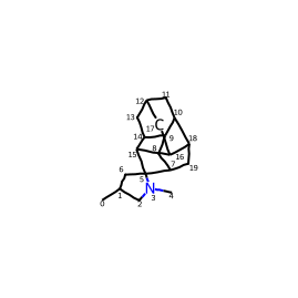 CC1CN(C)C2(C1)C1CC3C4CC5CC3C2C(C5)C4C1